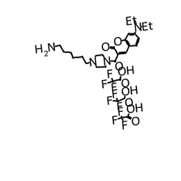 CCN(CC)c1ccc2cc(C(=O)N3CCN(CCCCCCN)CC3)c(=O)oc2c1.O=C(O)C(F)(F)F.O=C(O)C(F)(F)F.O=C(O)C(F)(F)F